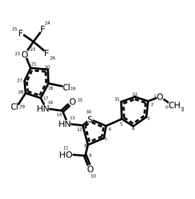 COc1ccc(-c2cc(C(=O)O)c(NC(=O)Nc3c(Cl)cc(OC(F)(F)F)cc3Cl)s2)cc1